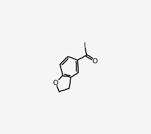 O=C(I)c1ccc2c(c1)CCO2